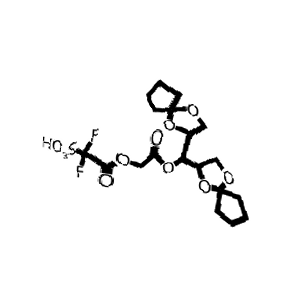 O=C(COC(=O)C(F)(F)S(=O)(=O)O)OC(C1COC2(CCCC2)O1)C1COC2(CCCC2)O1